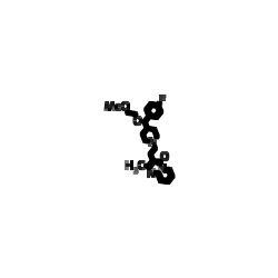 COCCO[C@@H](c1ccc(F)cc1)C1CCN(CCc2c(C)nc3ccccn3c2=O)CC1